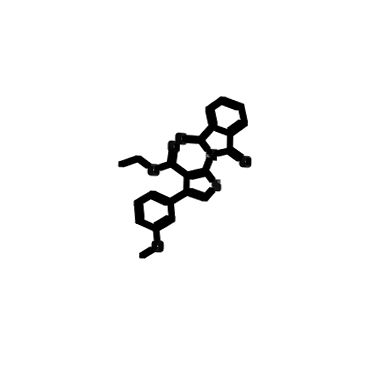 CCOC(=O)c1c(-c2cccc(OC)c2)csc1N1C(=O)c2ccccc2C1=O